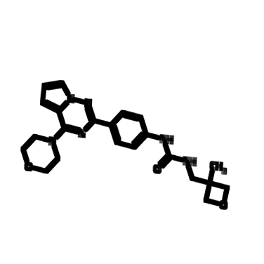 CC1(CNC(=O)Nc2ccc(-c3nc(N4CCOCC4)c4cccn4n3)cc2)COC1